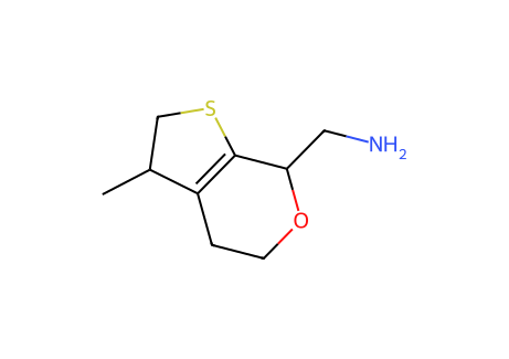 CC1CSC2=C1CCOC2CN